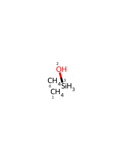 C.C.O[SiH3]